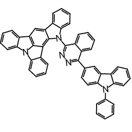 c1ccc(-n2c3ccccc3c3cc(-c4nnc(-n5c6ccccc6c6cc7c8ccccc8n8c9ccccc9c(c65)c78)c5ccccc45)ccc32)cc1